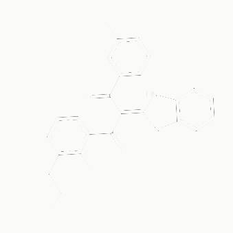 O=C(C(C(=O)c1cccc([C@@H](O)CO)c1F)=C1Nc2ccccc2N1)c1cccc(F)c1